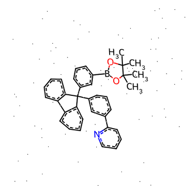 CC1(C)OB(c2cccc(C3(c4cccc(-c5ccccn5)c4)c4ccccc4-c4ccccc43)c2)OC1(C)C